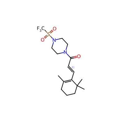 CC1=C(/C=C/C(=O)N2CCN(S(=O)(=O)C(F)(F)F)CC2)C(C)(C)CCC1